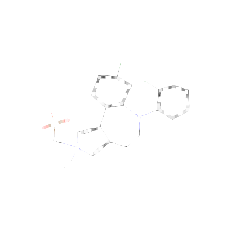 C[N+]1(CS(=O)(=O)[O-])C=C2CCN(c3ccccc3Cl)c3cc(Cl)ccc3C2=C1